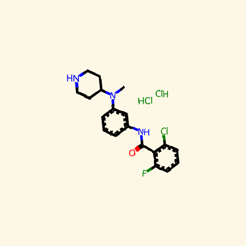 CN(c1cccc(NC(=O)c2c(F)cccc2Cl)c1)C1CCNCC1.Cl.Cl